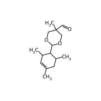 CC1=CC(C)C(C2OCC(C)(C=O)CO2)C(C)C1